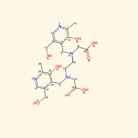 Cc1ncc(CO)c(CN(CCN(CC(=O)O)Cc2c(CO)cnc(C)c2O)CC(=O)O)c1O